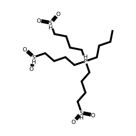 CCCC[PH](CCCC[SH](=O)=O)(CCCC[SH](=O)=O)CCCC[SH](=O)=O